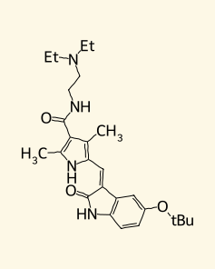 CCN(CC)CCNC(=O)c1c(C)[nH]c(/C=C2\C(=O)Nc3ccc(OC(C)(C)C)cc32)c1C